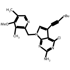 CCCCC#Cc1cn(Cc2ncc(C)c(OC)c2C)c2nc(N)nc(Cl)c12